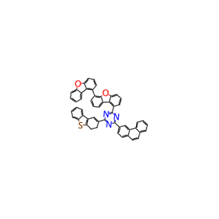 C1=C(c2nc(-c3ccc4ccc5ccccc5c4c3)nc(-c3cccc4oc5c(-c6cccc7oc8ccccc8c67)cccc5c34)n2)CCc2sc3ccccc3c21